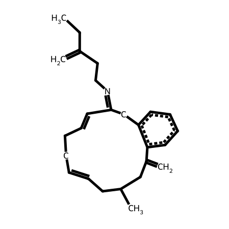 C=C(CC)CC/N=C1\C=C\CC/C=C/CC(C)CC(=C)c2ccccc2C1